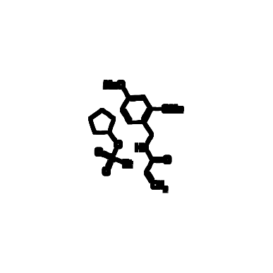 C=CC(=O)NCc1ccc(OC)cc1OC.CCS(=O)(=O)OC1CCCC1